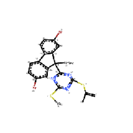 C=C(C)Sc1nc(SC(C)(C)C)nc(C2(CCCCCC)c3cc(Br)ccc3-c3ccc(Br)cc32)n1